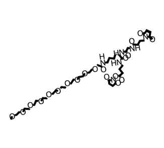 COCCOCCOCCOCCOCCOCCOCCOCCOCCOCC(=O)NCCCC[C@H](NC(=O)CNC(=O)CCCN1C(=O)C=CC1=O)C(=O)NCCCC(=O)ON1C(=O)CCC1=O